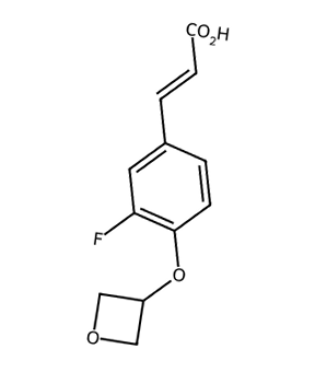 O=C(O)/C=C/c1ccc(OC2COC2)c(F)c1